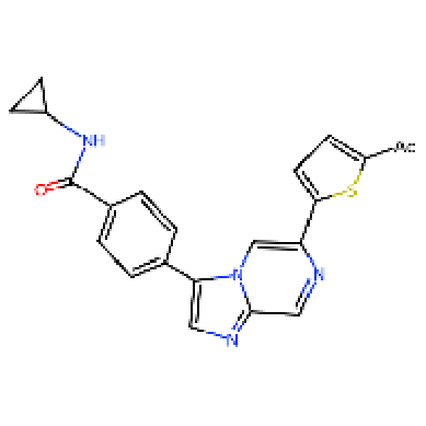 CC(=O)c1ccc(-c2cn3c(-c4ccc(C(=O)NC5CC5)cc4)cnc3cn2)s1